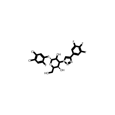 OCC1O[C@H](Sc2cc(Cl)c(Cl)cc2F)C(O)C(n2cc(-c3cc(F)c(F)c(F)c3)nn2)[C@H]1O